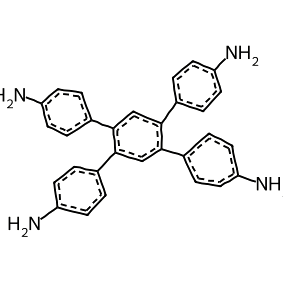 Nc1ccc(-c2cc(-c3ccc(N)cc3)c(-c3ccc(N)cc3)cc2-c2ccc(N)cc2)cc1